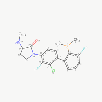 CP(C)c1c(F)cccc1-c1ccc(N2CCC(NC=O)C2=O)c(F)c1Cl